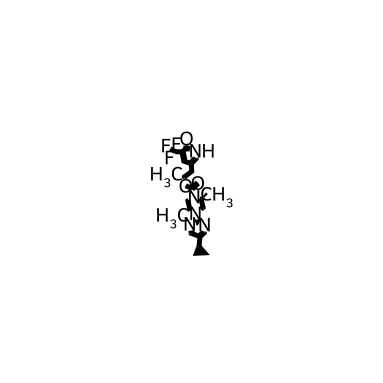 C[C@@H]1CN(C(=O)O[C@@H](C)Cc2c[nH]c(=O)c(C(F)(F)F)c2)[C@@H](C)CN1c1ncc(C2CC2)cn1